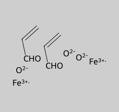 C=CC=O.C=CC=O.[Fe+3].[Fe+3].[O-2].[O-2].[O-2]